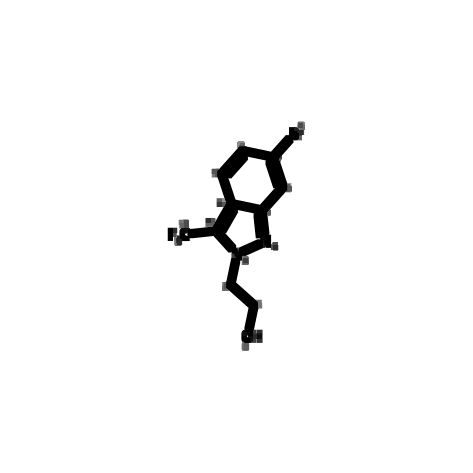 OCCn1nc2cc(Br)ccc2c1C(F)(F)F